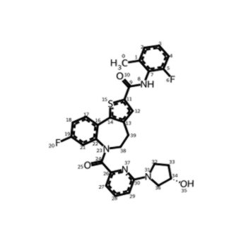 Cc1cccc(F)c1NC(=O)c1cc2c(s1)-c1ccc(F)cc1N(C(=O)c1cccc(N3CC[C@H](O)C3)n1)CC2